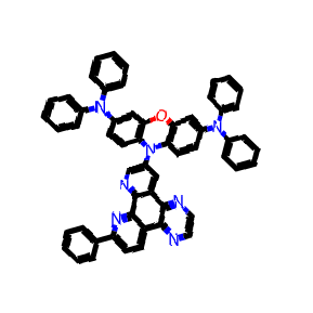 c1ccc(-c2ccc3c4nccnc4c4cc(N5c6ccc(N(c7ccccc7)c7ccccc7)cc6Oc6cc(N(c7ccccc7)c7ccccc7)ccc65)cnc4c3n2)cc1